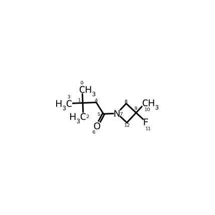 CC(C)(C)CC(=O)N1CC(C)(F)C1